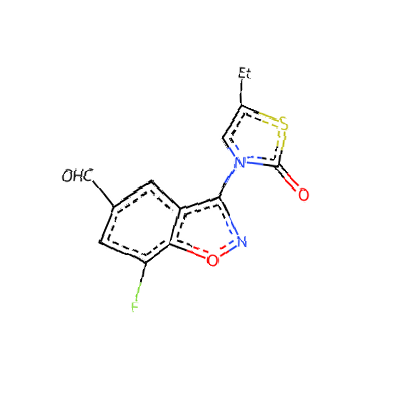 CCc1cn(-c2noc3c(F)cc(C=O)cc23)c(=O)s1